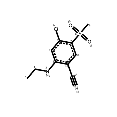 CCNc1cc(Cl)c(S(C)(=O)=O)cc1C#N